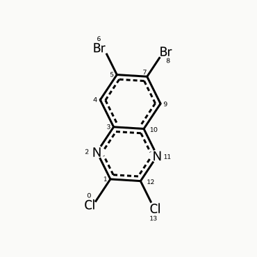 Clc1nc2cc(Br)c(Br)cc2nc1Cl